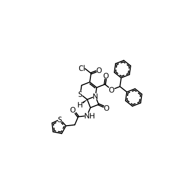 O=C(Cc1cccs1)NC1C(=O)N2C(C(=O)OC(c3ccccc3)c3ccccc3)=C(C(=O)Cl)CS[C@@H]12